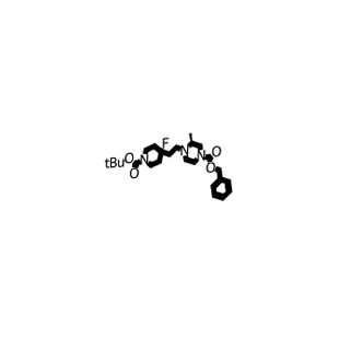 C[C@H]1CN(C(=O)OCc2ccccc2)CCN1CCC1(F)CCN(C(=O)OC(C)(C)C)CC1